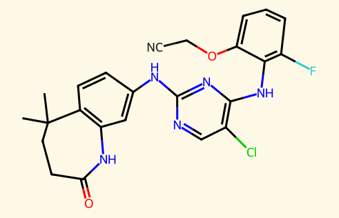 CC1(C)CCC(=O)Nc2cc(Nc3ncc(Cl)c(Nc4c(F)cccc4OCC#N)n3)ccc21